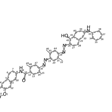 CCCOc1ccc2ccc(NC(=O)c3cc(C)c(N=Nc4cc(C)c(N=Nc5ccc6cc(Nc7ccccc7)ccc6c5O)cc4C)cc3C)cc2c1